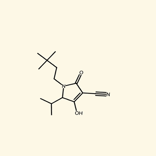 CC(C)C1C(O)=C(C#N)C(=O)N1CCC(C)(C)C